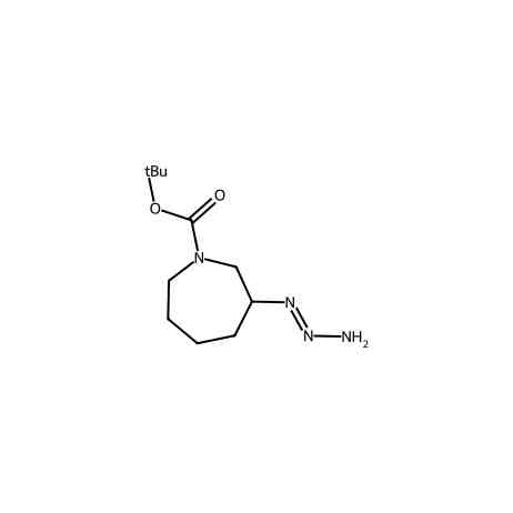 CC(C)(C)OC(=O)N1CCCCC(N=NN)C1